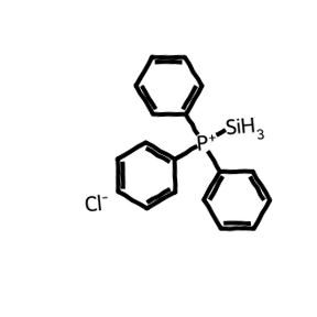 [Cl-].[SiH3][P+](c1ccccc1)(c1ccccc1)c1ccccc1